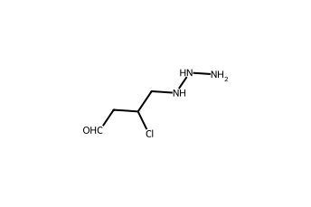 NNNCC(Cl)CC=O